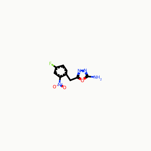 Nc1nnc(Cc2ccc(F)cc2[N+](=O)[O-])o1